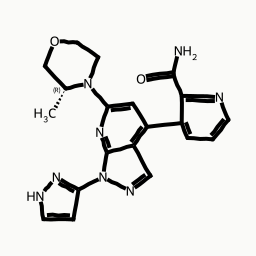 C[C@@H]1COCCN1c1cc(-c2cccnc2C(N)=O)c2cnn(-c3cc[nH]n3)c2n1